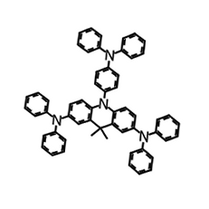 CC1(C)c2cc(N(c3ccccc3)c3ccccc3)ccc2N(c2ccc(N(c3ccccc3)c3ccccc3)cc2)c2ccc(N(c3ccccc3)c3ccccc3)cc21